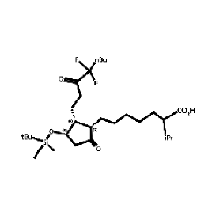 CCCCC(F)(F)C(=O)CC[C@H]1[C@H](O[Si](C)(C)C(C)(C)C)CC(=O)[C@@H]1CCCCCC(C(=O)O)C(C)C